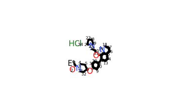 CCC(=O)N1CCC(Oc2ccc(-c3ccc4cccnc4c3OCCN3CCCC3)cc2)CC1.Cl